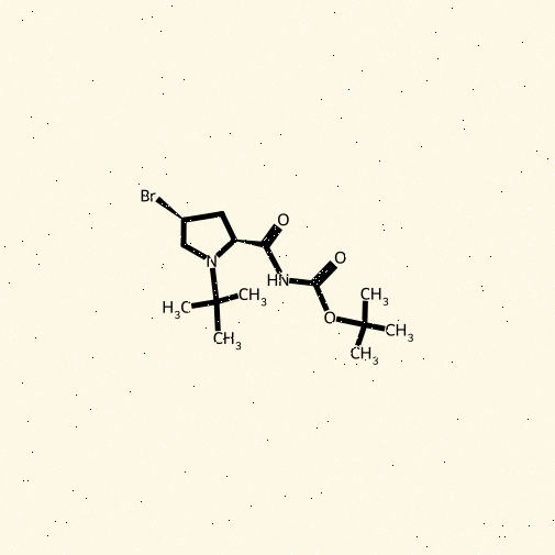 CC(C)(C)OC(=O)NC(=O)[C@@H]1C[C@H](Br)CN1C(C)(C)C